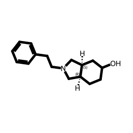 OC1CC[C@H]2CN(CCc3ccccc3)C[C@H]2C1